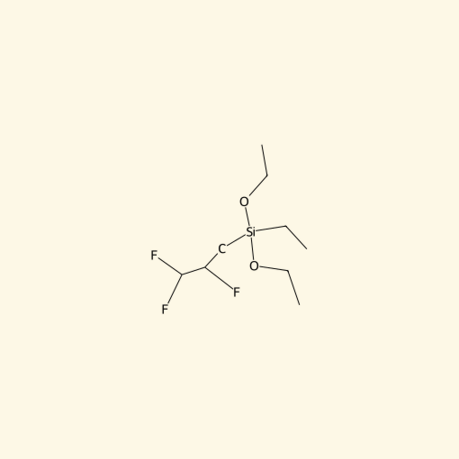 CCO[Si](CC)(CC(F)C(F)F)OCC